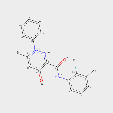 Cc1cccc(NC(=O)c2nn(-c3ccccc3)c(C)cc2=O)c1F